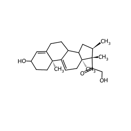 C[C@@H]1CC2C3CCC4=CC(O)CC[C@]4(C)C3=CC[C@]2(C)[C@@]1(C)C(=O)CO